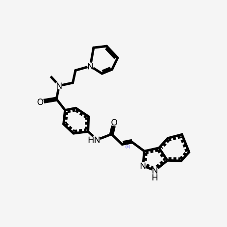 CN(CCN1C=CC=CC1)C(=O)c1ccc(NC(=O)/C=C/c2n[nH]c3ccccc23)cc1